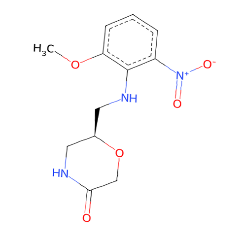 COc1cccc([N+](=O)[O-])c1NC[C@@H]1CNC(=O)CO1